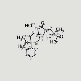 CN(C)C1(c2ccccn2)CCC2(CC1)CC(=O)N(CC(C)(C)C(=O)O)C2.Cl